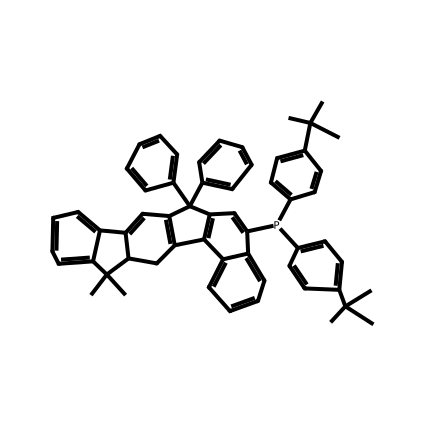 CC(C)(C)c1ccc(P(c2ccc(C(C)(C)C)cc2)c2cc3c(c4ccccc24)C2=C(C=C4c5ccccc5C(C)(C)C4C2)C3(c2ccccc2)c2ccccc2)cc1